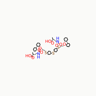 C=C(CCNC(=O)OC(COc1ccccc1-c1ccccc1)CSc1ccc(Sc2ccc(SCC(COc3ccccc3-c3ccccc3)OC(=O)NCCC(=C)C(=O)O)cc2)cc1)C(=O)O